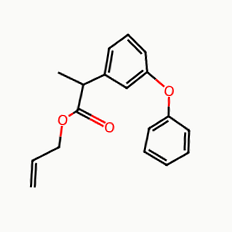 C=CCOC(=O)C(C)c1cccc(Oc2ccccc2)c1